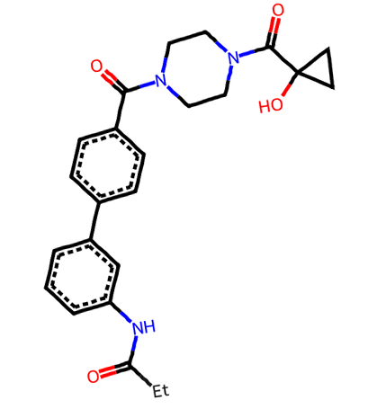 CCC(=O)Nc1cccc(-c2ccc(C(=O)N3CCN(C(=O)C4(O)CC4)CC3)cc2)c1